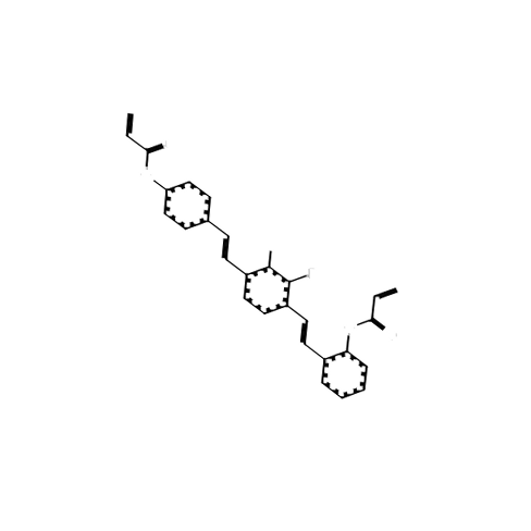 C=CC(=O)Oc1ccc(/C=C/c2ccc(/C=C/c3ccccc3OC(=O)C=C)c(F)c2F)cc1